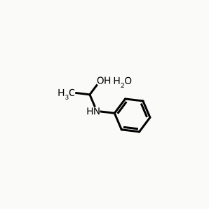 CC(O)Nc1ccccc1.O